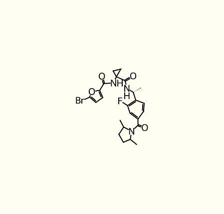 CC1CCC(C)N1C(=O)c1ccc([C@@H](C)NC(=O)C2(NC(=O)c3ccc(Br)o3)CC2)c(F)c1